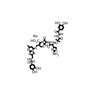 Cc1cc(SCC2=C(C(=O)O)N3C(=O)[C@@H](NC(=O)C(=NOC(C)(C)C(=O)NNC(=O)c4ccc(O)c(O)c4)c4csc(N)n4)[C@H]3SC2)n2nc(CNS(=O)(=O)c3ccc(O)c(O)c3)nc2n1.[Na]